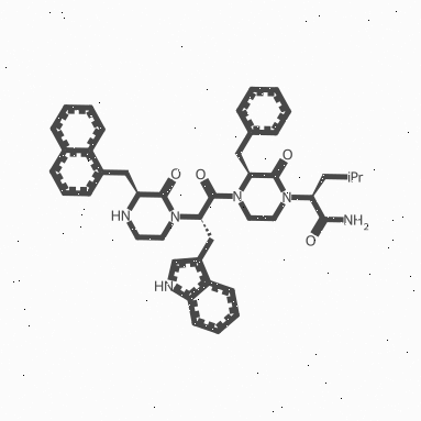 CC(C)C[C@@H](C(N)=O)N1CCN(C(=O)[C@H](Cc2c[nH]c3ccccc23)N2CCN[C@@H](Cc3cccc4ccccc34)C2=O)[C@@H](Cc2ccccc2)C1=O